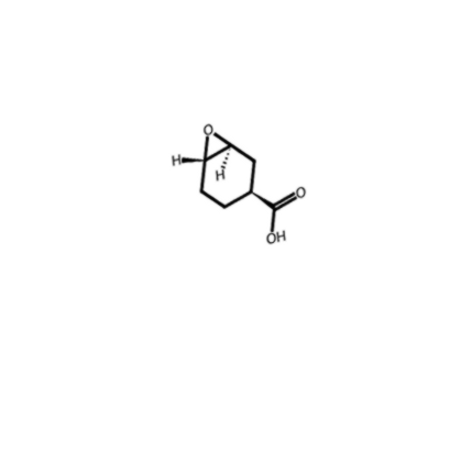 O=C(O)[C@H]1CC[C@@H]2O[C@H]2C1